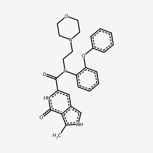 Cc1[nH]cc2cc(C(=O)N(CCN3CCOCC3)c3ccccc3Oc3ccccc3)[nH]c(=O)c12